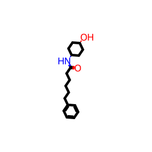 O=C(CCCCCc1ccccc1)N[C@H]1CC[C@@H](O)CC1